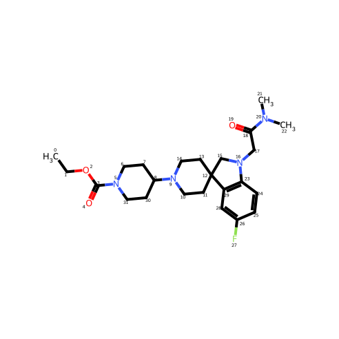 CCOC(=O)N1CCC(N2CCC3(CC2)CN(CC(=O)N(C)C)c2ccc(F)cc23)CC1